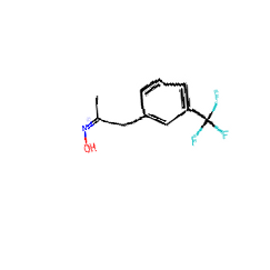 C/C(Cc1cccc(C(F)(F)F)c1)=N/O